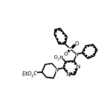 CCOC(=O)C1CCN(c2ncnc(N(c3ccccc3)S(=O)(=O)c3ccccc3)c2[N+](=O)[O-])CC1